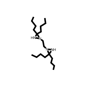 CCCCC1(CCCC)NN1CCN1NC1(CCCC)CCCC